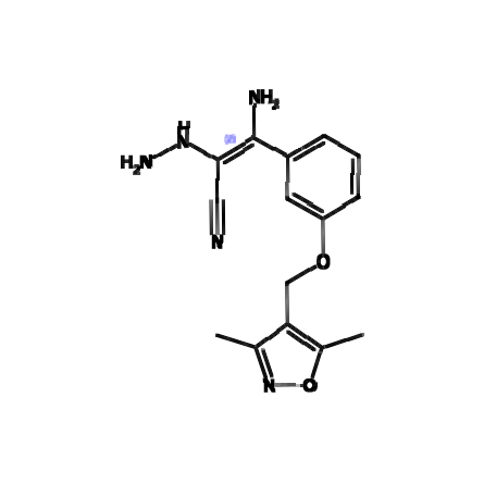 Cc1noc(C)c1COc1cccc(/C(N)=C(\C#N)NN)c1